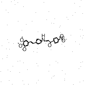 COc1cc(C=Cc2ccc(NC=CC(=O)c3ccc([N+](=O)[O-])cc3)cc2)cc(OC)c1OC